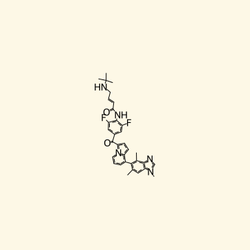 Cc1cc2c(ncn2C)c(C)c1-c1cccn2c(C(=O)c3cc(F)c(NC(=O)/C=C/CNC(C)(C)C)c(F)c3)ccc12